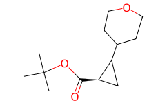 CC(C)(C)OC(=O)[C@@H]1CC1C1CCOCC1